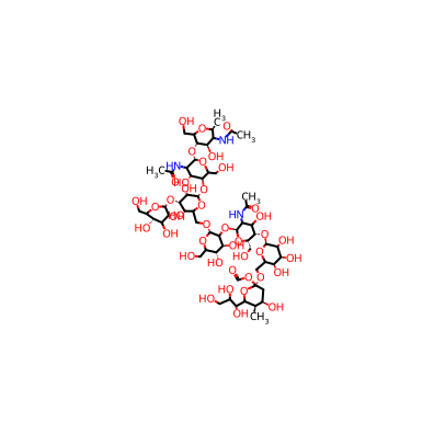 CC(=O)NC1C(O)[C@H](O[C@@H]2OC(CO[C@]3(OC=O)C[C@@H](O)[C@@H](C)C(C(O)C(O)CO)O3)[C@H](O)[C@H](O)C2O)[C@H](CO)O[C@H]1OC1[C@@H](OCC2O[C@@H](O[C@@H]3C(CO)O[C@@H](O[C@@H]4C(CO)O[C@@H](C)C(NC(C)=O)[C@H]4O)C(NC(C)=O)[C@H]3O)C(O)[C@@H](O[C@H]3OC(CO)[C@@H](O)C(O)C3O)[C@@H]2O)OC(CO)[C@@H](O)[C@@H]1O